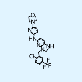 FC(F)(F)c1ccc(Cl)c(CN2CCNc3ccc(Nc4ccc(N5CCOCC5)nc4)nc32)c1